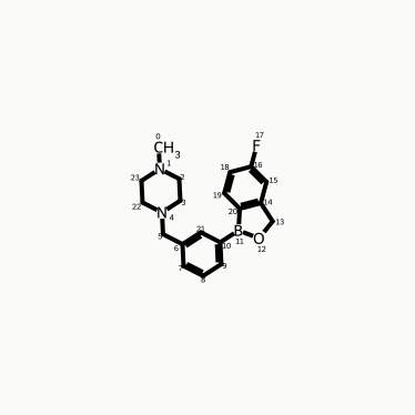 CN1CCN(Cc2cccc(B3OCc4cc(F)ccc43)c2)CC1